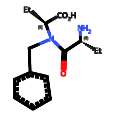 CC[C@@H](N)C(=O)N(Cc1ccccc1)[C@@H](CC)C(=O)O